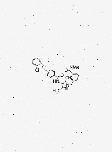 CNC(=O)c1cccc(Cn2nc(C)c(NC(=O)c3ccc(COc4ccccc4Cl)cc3)c2C)c1